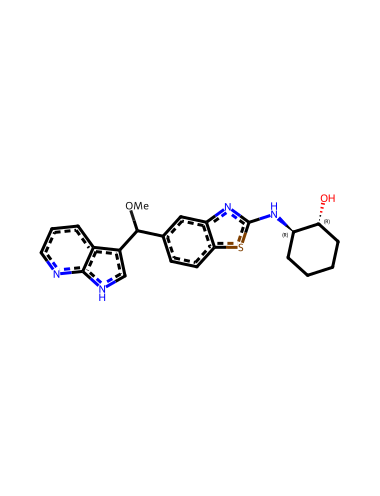 COC(c1ccc2sc(N[C@@H]3CCCC[C@H]3O)nc2c1)c1c[nH]c2ncccc12